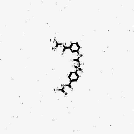 N=C(N)NC(=O)c1ccc(S(=O)(=O)NC(=O)Nc2cccc(C(=O)NC(=N)N)c2)cc1